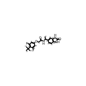 CC(NC(=O)COc1cc(F)c(C(C)(C)C)c(F)c1)c1ccc2[nH]c(=O)[nH]c2c1